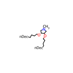 CCCCCCCCCCCCCCOC1CN(C)C[C@H]1OCCCCCCCCCCCCCC